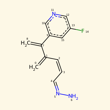 C=C(/C=C\C=N/N)C(=C)c1cncc(F)c1